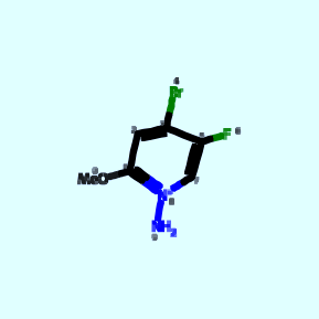 COc1cc(Br)c(F)c[n+]1N